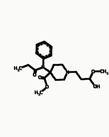 CCC(=O)N(c1ccccc1)C1(C(=O)OC)CCN(CCC(O)OC)CC1